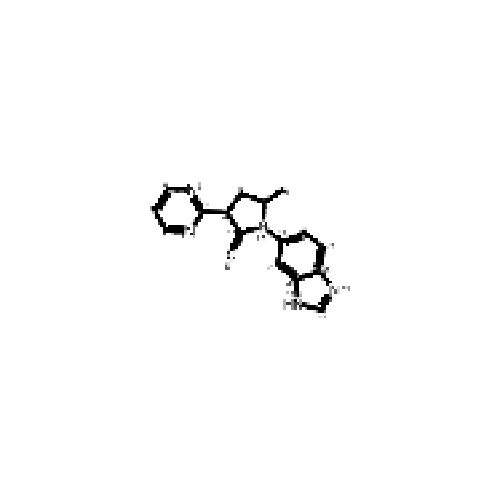 CC1CC(c2ncccn2)C(=O)N1c1ccc2nc[nH]c2c1